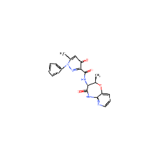 Cc1cc(=O)c(C(=O)N[C@@H]2C(=O)Nc3ncccc3O[C@@H]2C)nn1-c1ccccc1